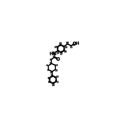 O=C(CC1CCC(c2ccccc2)CC1)Nc1ccc(CCO)cc1